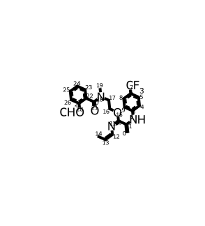 C=C(Nc1ccc(C(F)(F)F)cc1)/C(=N\C=C/C)OCCN(C)C(=O)c1ccccc1C=O